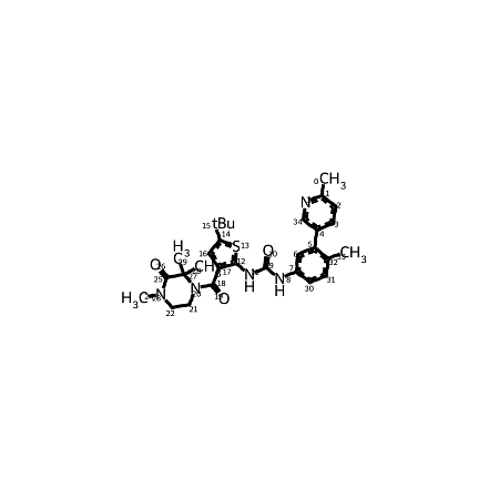 Cc1ccc(-c2cc(NC(=O)Nc3sc(C(C)(C)C)cc3C(=O)N3CCN(C)C(=O)C3(C)C)ccc2C)cn1